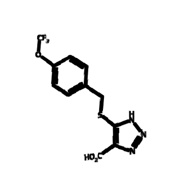 O=C(O)c1nn[nH]c1SCc1ccc(OC(F)(F)F)cc1